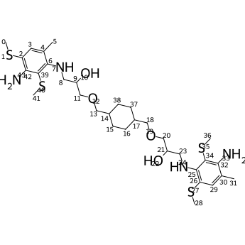 CSc1cc(C)c(NCC(O)COCC2CCC(COCC(O)CNc3c(SC)cc(C)c(N)c3SC)CC2)c(SC)c1N